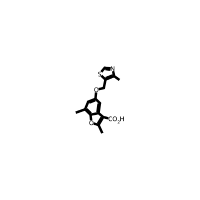 Cc1ncsc1COc1cc(C)c2oc(C)c(C(=O)O)c2c1